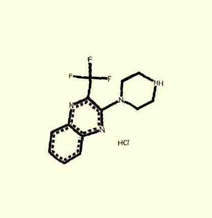 Cl.FC(F)(F)c1nc2ccccc2nc1N1CCNCC1